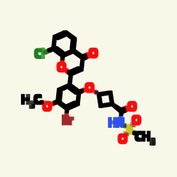 COc1cc(-c2cc(=O)c3cccc(Cl)c3o2)c(O[C@H]2C[C@H](C(=O)NS(C)(=O)=O)C2)cc1Br